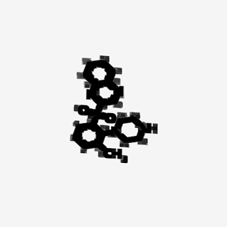 Cc1cccc(S(=O)(=O)c2cnc3ccccc3n2)c1N1CCNCC1